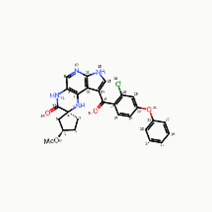 CO[C@@H]1CC[C@@]2(C1)Nc1c(cnc3[nH]cc(C(=O)c4ccc(Oc5ccccc5)cc4Cl)c13)NC2=O